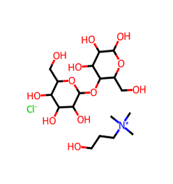 C[N+](C)(C)CCCO.OCC1OC(OC2C(CO)OC(O)C(O)C2O)C(O)C(O)C1O.[Cl-]